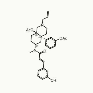 C=CCN1CC[C@@]2(c3cccc(OC(C)=O)c3)C[C@H](N(C)C(=O)C=Cc3cccc(O)c3)CC[C@]2(OC(C)=O)C1